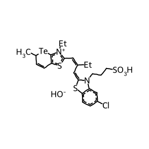 CCC(=Cc1sc2c([n+]1CC)[Te]C(C)C=C2)C=C1Sc2ccc(Cl)cc2N1CCCS(=O)(=O)O.[OH-]